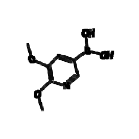 COc1cc(B(O)O)cnc1OC